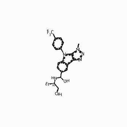 CC[C@H](CO)NC(O)c1ccc2c(c1)c1nnn(C)c1n2-c1ccc(C(F)(F)F)cc1